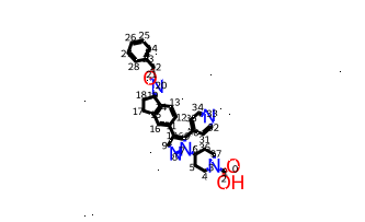 O=C(O)N1CCC(n2ncc(-c3ccc4c(c3)CCC4=NOCc3ccccc3)c2-c2ccncc2)CC1